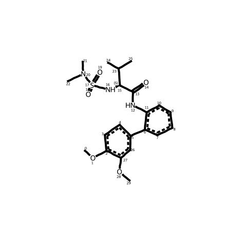 COc1ccc(-c2ccccc2NC(=O)[C@@H](NS(=O)(=O)N(C)C)C(C)C)cc1OC